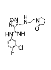 N=C(Nc1ccc(F)c(Cl)c1)c1nonc1CNCCN1CCCC1=O